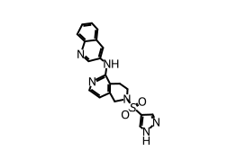 O=S(=O)(c1cn[nH]c1)N1CCc2c(ccnc2Nc2cnc3ccccc3c2)C1